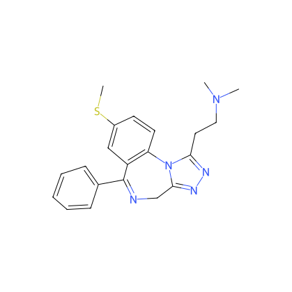 CSc1ccc2c(c1)C(c1ccccc1)=NCc1nnc(CCN(C)C)n1-2